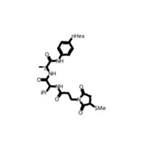 CCCCCCc1ccc(NC(=O)[C@H](C)NC(=O)C(NC(=O)CCN2C(=O)CC(SC)C2=O)C(C)C)cc1